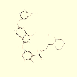 Cc1ncc(Nc2nn(C)c3nc(Nc4cnn(C)c4)ncc23)cc1C(=O)NCCN1CCCCC1C